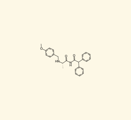 COc1ccc(CN[C@@H](C)C(=O)NC(=O)C(c2ccccc2)c2ccccc2)cc1